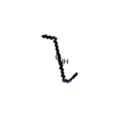 CCCCC/C=C\C/C=C\CCCCCCCCNCCOCCCCCCCC/C=C\CCCCCC